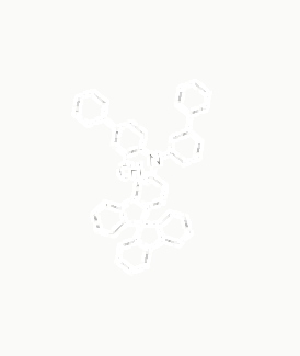 Cc1cc(C2C=CC=CC2)ccc1N(c1cccc(-c2ccccc2)c1)c1ccc2c(c1)-c1ccccc1C21c2ccccc2-c2ccccc21